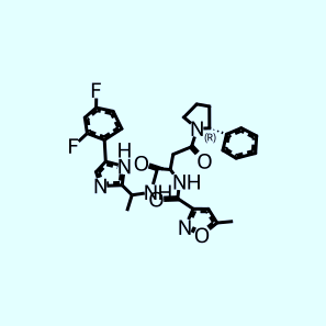 Cc1cc(C(=O)NC(CC(=O)N2CCC[C@@H]2c2ccccc2)C(=O)NC(C)c2ncc(-c3ccc(F)cc3F)[nH]2)no1